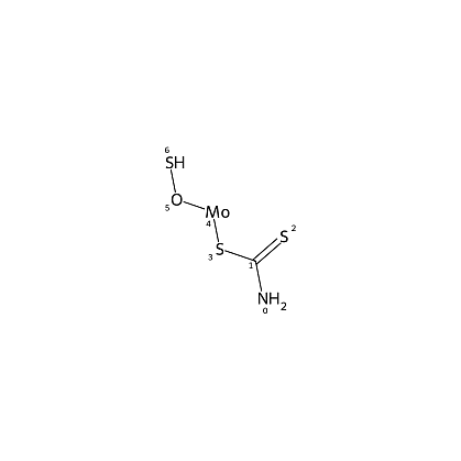 NC(=S)[S][Mo][O]S